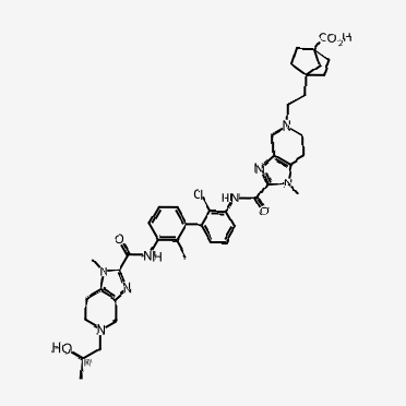 Cc1c(NC(=O)c2nc3c(n2C)CCN(C[C@@H](C)O)C3)cccc1-c1cccc(NC(=O)c2nc3c(n2C)CCN(CCC24CCC(C(=O)O)(CC2)C4)C3)c1Cl